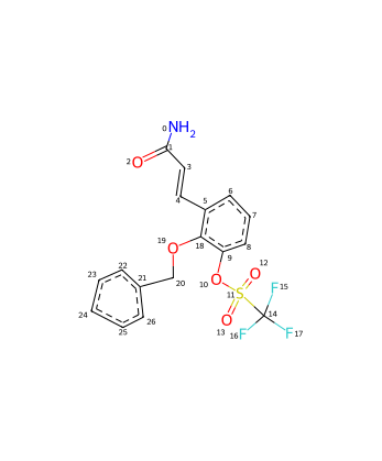 NC(=O)/C=C/c1cccc(OS(=O)(=O)C(F)(F)F)c1OCc1ccccc1